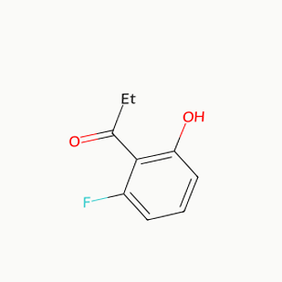 CCC(=O)c1c(O)cccc1F